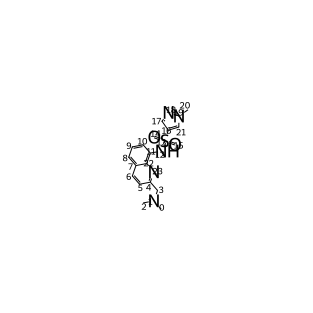 CN(C)Cc1ccc2cccc(NS(=O)(=O)c3cnn(C)c3)c2n1